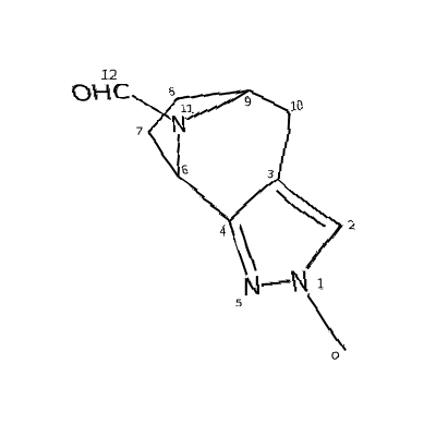 Cn1cc2c(n1)C1CCC(C2)N1C=O